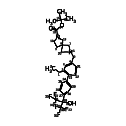 CCc1cc(CN2CC3(CCN(C(=O)OC(C)(C)C)C3)C2)ccc1-c1ccc(C(O)(C(F)(F)F)C(F)(F)F)cc1